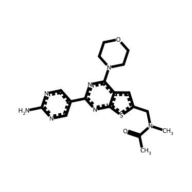 CC(=O)N(C)Cc1cc2c(N3CCOCC3)nc(-c3cnc(N)nc3)nc2s1